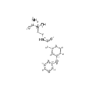 NC(=O)N(O)CCNC(=O)Cc1cccc(Oc2ccccc2)c1